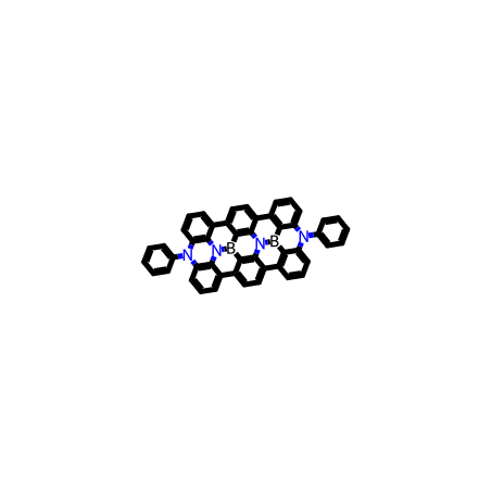 c1ccc(N2c3cccc4c3B3c5c(cccc52)-c2ccc5c6c2N3c2c-4ccc3c2B6N2c4c-3cccc4N(c3ccccc3)c3cccc-5c32)cc1